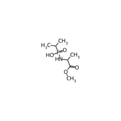 COC(=O)C(C)NP(=O)(O)C(C)C